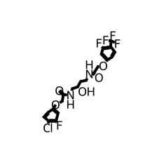 O=C(COc1ccc(C(F)(F)F)c(F)c1)NCC[C@H](O)CNC(=O)COc1ccc(Cl)c(F)c1